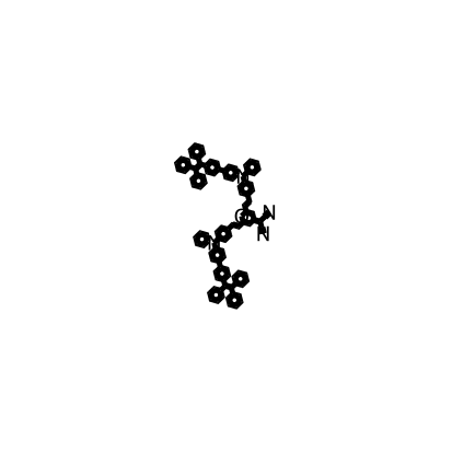 N#CC(C#N)=C1C=C(/C=C/c2ccc(N(c3ccccc3)c3ccc(-c4ccc(C(=C(c5ccccc5)c5ccccc5)c5ccccc5)cc4)cc3)cc2)OC(/C=C/c2ccc(N(c3ccccc3)c3ccc(-c4ccc(C(=C(c5ccccc5)c5ccccc5)c5ccccc5)cc4)cc3)cc2)=C1